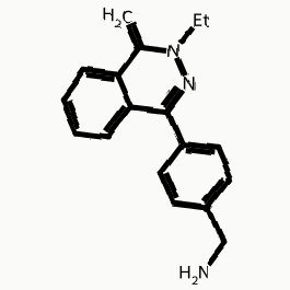 C=C1c2ccccc2C(c2ccc(CN)cc2)=NN1CC